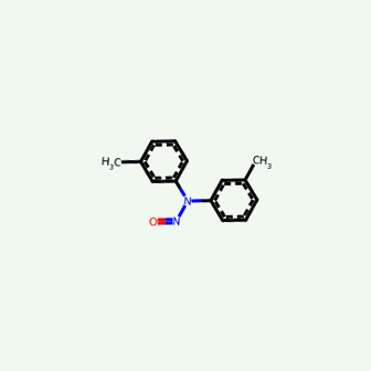 Cc1cccc(N(N=O)c2cccc(C)c2)c1